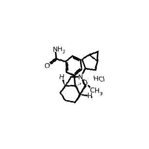 CO[C@@]1(c2cccc(C(N)=O)c2)[C@@H]2CCC[C@H]1CN(C1CC3CC3C1)C2.Cl